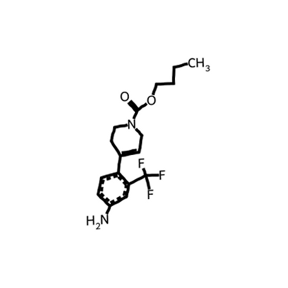 CCCCOC(=O)N1CC=C(c2ccc(N)cc2C(F)(F)F)CC1